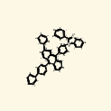 c1ccc(-c2ccc(-c3c4ccccc4c(-c4ccc(-n5c(-c6ccccc6)nc6ccccc65)cc4)c4cc(-c5ccccc5)ccc34)cc2)cc1